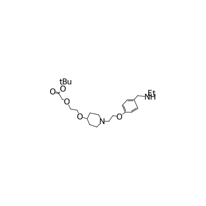 CCNCc1ccc(OCCN2CCC(OCCOCC(=O)OC(C)(C)C)CC2)cc1